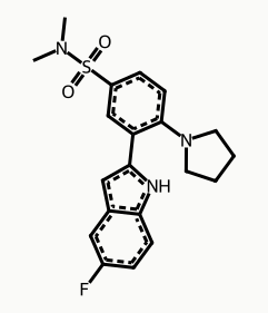 CN(C)S(=O)(=O)c1ccc(N2CCCC2)c(-c2cc3cc(F)ccc3[nH]2)c1